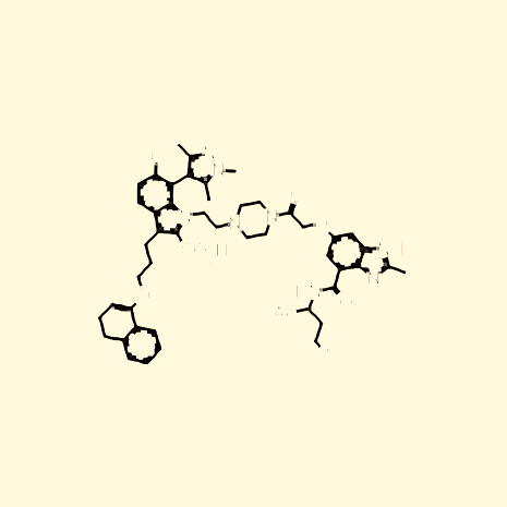 CC(=O)CCC(NC(=O)c1cc(OCC(=O)N2CCN(CCn3c(C(=O)O)c(CCCOC4=CCCc5ccccc54)c4ccc(Cl)c(-c5c(C)nn(C)c5C)c43)CC2)cc2[nH]c(C)nc12)C(C)=O